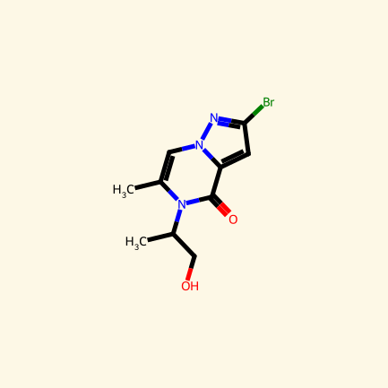 Cc1cn2nc(Br)cc2c(=O)n1C(C)CO